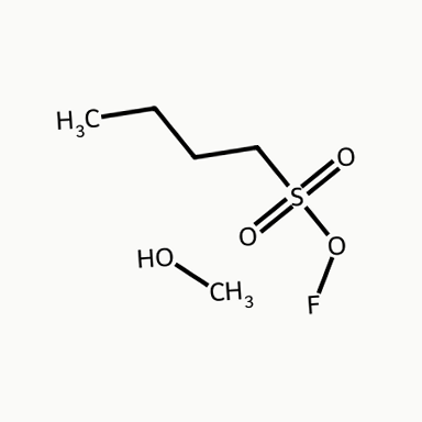 CCCCS(=O)(=O)OF.CO